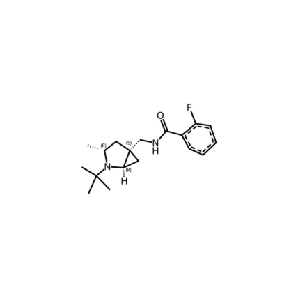 C[C@@H]1C[C@@]2(CNC(=O)c3ccccc3F)C[C@H]2N1C(C)(C)C